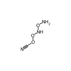 N#COONON